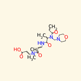 C=CC(=O)N(CN1CCOCC1)C(=C)C(=O)NC=CC(=O)[N+](C)(C)C=CC(=O)O